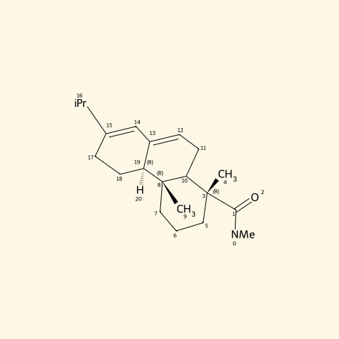 CNC(=O)[C@]1(C)CCC[C@@]2(C)C1CC=C1C=C(C(C)C)CC[C@@H]12